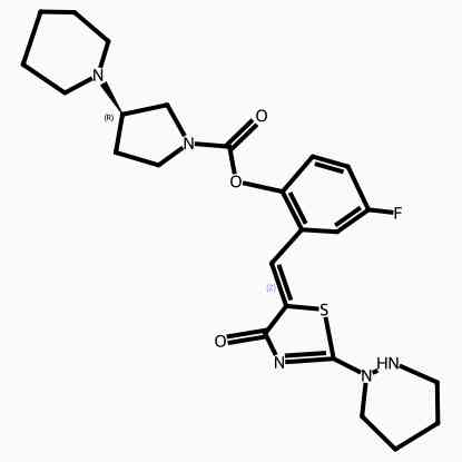 O=C1N=C(N2CCCCN2)S/C1=C\c1cc(F)ccc1OC(=O)N1CC[C@@H](N2CCCCC2)C1